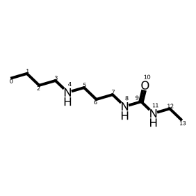 CCCCNCCCNC(=O)NCC